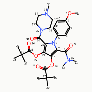 COc1ccc(-n2c(C(=O)N(C)C)c(OC(=O)C(C)(C)C)c(OC(=O)C(C)(C)C)c2C(=O)N2CCN(C)CC2)cc1